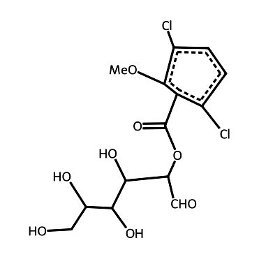 COc1c(Cl)ccc(Cl)c1C(=O)OC(C=O)C(O)C(O)C(O)CO